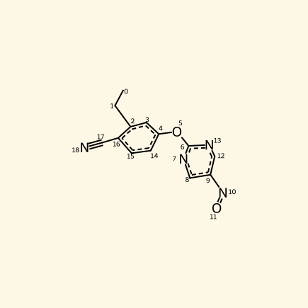 CCc1cc(Oc2ncc(N=O)cn2)ccc1C#N